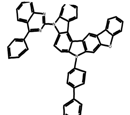 c1ccc(-c2ccc(-n3c4cc5oc6ccccc6c5cc4c4c5c6ccccc6n(-c6nc(-c7ccccc7)c7ccccc7n6)c5ccc43)cc2)cc1